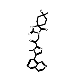 Cn1c(-c2cccc3ccncc23)cnc1C(=O)CN1C(=O)NC2(CCC(F)(F)CC2)C1=O